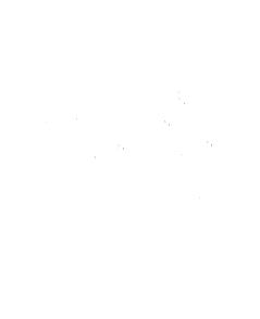 CCCC(CC)c1ncnn1-c1ccc(F)cn1